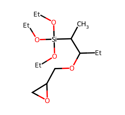 CCO[Si](OCC)(OCC)C(C)C(CC)OCC1CO1